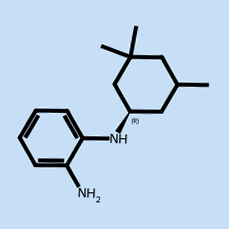 CC1C[C@@H](Nc2ccccc2N)CC(C)(C)C1